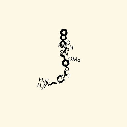 COc1cc(OCC(=O)N2CCN(CCCN(C)C)CC2)ccc1-c1csc(CNC(=O)C2(CC(=O)O)Cc3ccccc3C2)n1